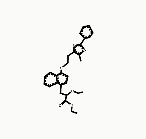 CCOC(=O)C(Cc1ccc(OCCc2nc(-c3ccccc3)sc2C)c2ccccc12)OCC